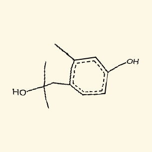 Cc1cc(O)ccc1C(C)(C)O